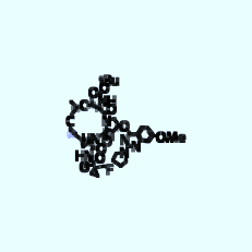 COc1ccc2c(O[C@@H]3C[C@H]4C(=O)N[C@]5(C(=O)NS(=O)(=O)C6(CF)CC6)CC5/C=C\CC[C@@H](C)C[C@@H](C)[C@H](NC(=O)OC(C)(C)C)C(=O)N4C3)nc(N3CCCC3)nc2c1